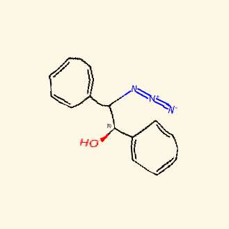 [N-]=[N+]=NC(c1ccccc1)[C@H](O)c1ccccc1